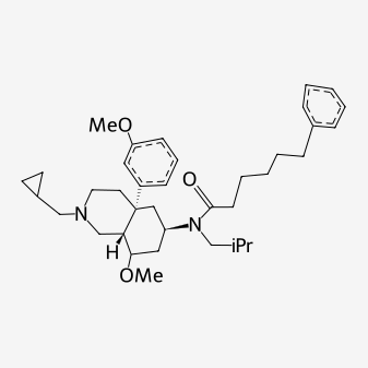 COc1cccc([C@@]23CCN(CC4CC4)C[C@H]2C(OC)C[C@H](N(CC(C)C)C(=O)CCCCCc2ccccc2)C3)c1